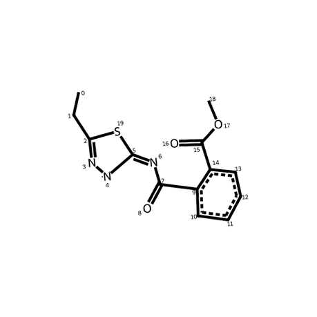 CCC1=N[N]C(=NC(=O)c2ccccc2C(=O)OC)S1